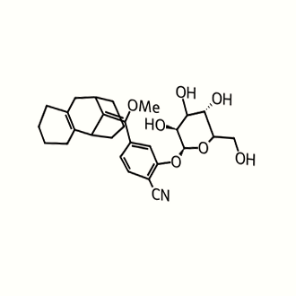 CO/C(=C1\C2CCCC1C1=C(CCCC1)C2)c1ccc(C#N)c(O[C@@H]2OC(CO)[C@@H](O)C(O)[C@@H]2O)c1